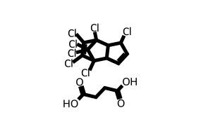 ClC1=C(Cl)C2(Cl)C3C(Cl)C=CC3C1(Cl)C2(Cl)Cl.O=C(O)CCC(=O)O